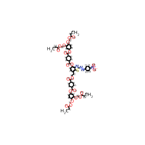 C=CC(=O)OCOc1ccc(OC(=O)C2CCC(C(=O)OCCc3ccc(OC(=O)C4CCC(C(=O)Oc5ccc(OCOC(=O)C=C)c(OCOC(=O)C=C)c5)CC4)c4nc(/N=N/c5ccc([N+](=O)[O-])cc5)sc34)CC2)cc1OCOC(=O)C=C